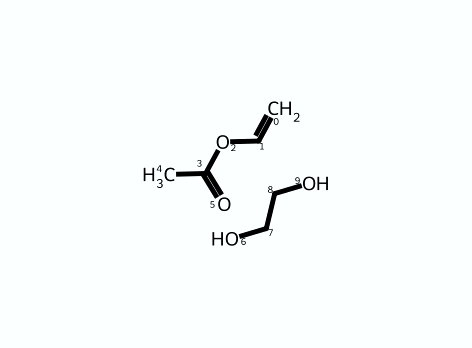 C=COC(C)=O.OCCO